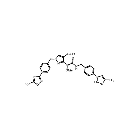 CCOC(=O)c1cn(Cc2ccc(-c3noc(C(F)(F)F)n3)cc2)nc1N(OC)C(=O)NCc1ccc(N2C=C(C(F)(F)F)ON2)cc1